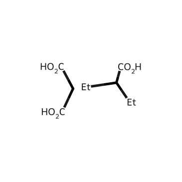 CCC(CC)C(=O)O.O=C(O)CC(=O)O